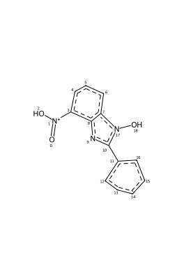 O=[N+](O)c1cccc2c1nc(-c1ccccc1)n2O